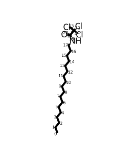 CCCCCCCCCCCCCCCCCCNC(=O)C(Cl)(Cl)Cl